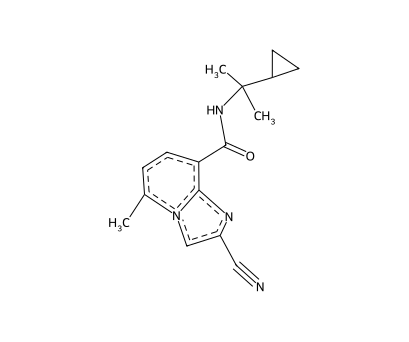 Cc1ccc(C(=O)NC(C)(C)C2CC2)c2nc(C#N)cn12